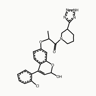 CC(Oc1ccc2c(c1)OC(O)C=C2c1ccccc1Cl)C(=O)N1CCCC(c2nn[nH]n2)C1